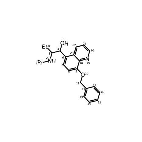 CCC(NC(C)C)C(O)c1ccc(OCc2ccccc2)c2ncccc12